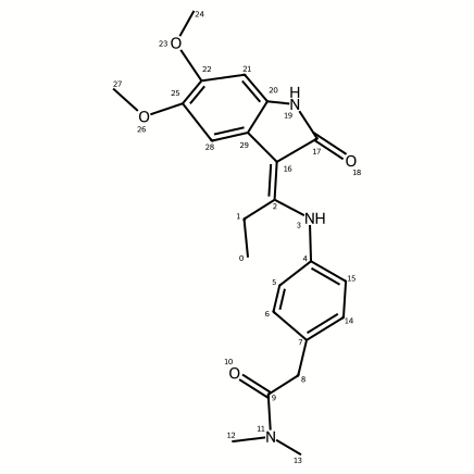 CC/C(Nc1ccc(CC(=O)N(C)C)cc1)=C1/C(=O)Nc2cc(OC)c(OC)cc21